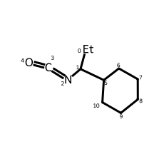 CCC(N=C=O)C1CCCCC1